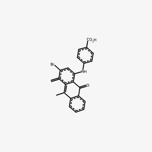 C=c1c(Br)cc(Nc2ccc(C(=O)O)cc2)c2c1=C(C)c1ccccc1C2=O